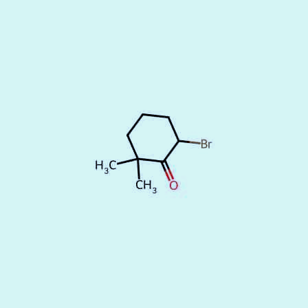 CC1(C)CCCC(Br)C1=O